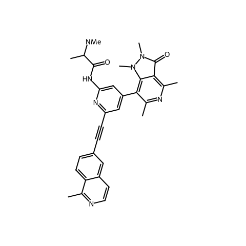 CNC(C)C(=O)Nc1cc(-c2c(C)nc(C)c3c(=O)n(C)n(C)c23)cc(C#Cc2ccc3c(C)nccc3c2)n1